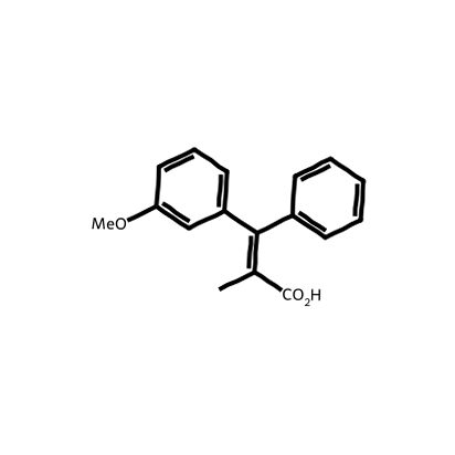 COc1cccc(C(=C(C)C(=O)O)c2ccccc2)c1